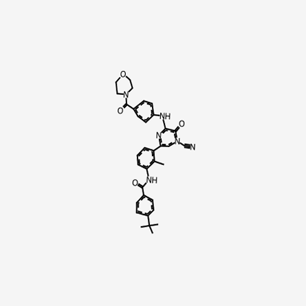 Cc1c(NC(=O)c2ccc(C(C)(C)C)cc2)cccc1-c1cn(C#N)c(=O)c(Nc2ccc(C(=O)N3CCOCC3)cc2)n1